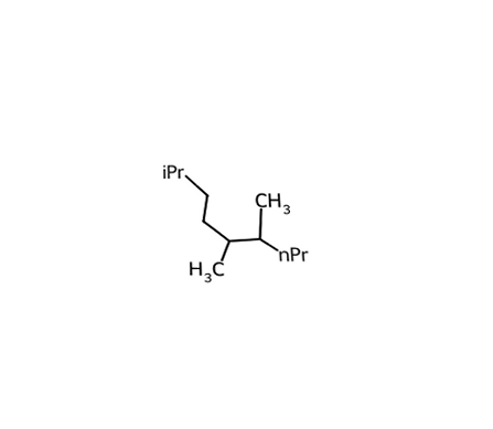 [CH2]C(C)CCC(C)C(C)CCC